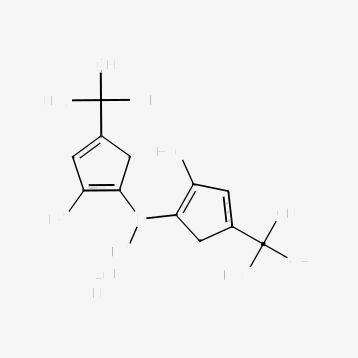 CC1=C(P(C)C2=C(C)C=C(C(C)(C)C)C2)CC(C(C)(C)C)=C1.[LiH].[LiH]